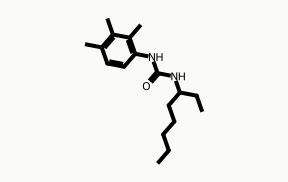 CCCCCC(CC)NC(=O)Nc1ccc(C)c(C)c1C